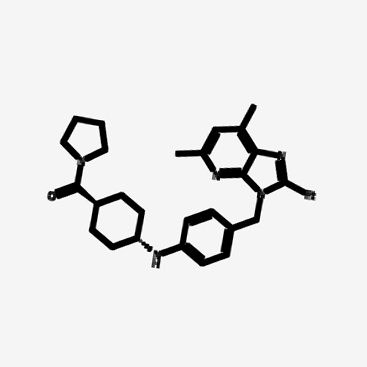 CCc1nc2c(C)cc(C)nc2n1Cc1ccc(N[C@H]2CC[C@H](C(=O)N3CCCC3)CC2)cc1